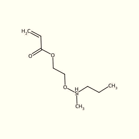 C=CC(=O)OCCO[SiH](C)CCC